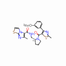 COc1cccc(-c2nc(C)sc2C(=O)N2CCC[C@H]2CNC(=O)c2c(C)nc3sccn23)c1